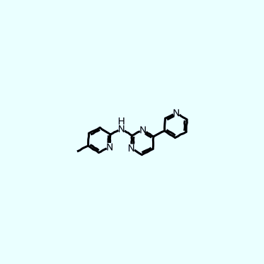 Cc1ccc(Nc2nccc(-c3cccnc3)n2)nc1